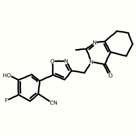 Cc1nc2c(c(=O)n1Cc1cc(-c3cc(O)c(F)cc3C#N)on1)CCCC2